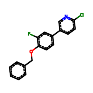 Fc1cc(-c2ccc(Cl)nc2)ccc1OCc1ccccc1